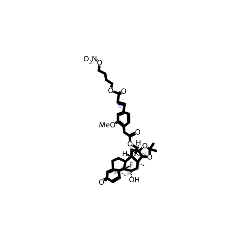 COc1cc(/C=C/C(=O)OCCCCO[N+](=O)[O-])ccc1CC(=O)OCC(=O)[C@@]12OC(C)(C)O[C@@H]1C[C@H]1C3CCC4=CC(=O)C=C[C@]4(C)[C@@]3(F)[C@@H](O)C[C@@]12C